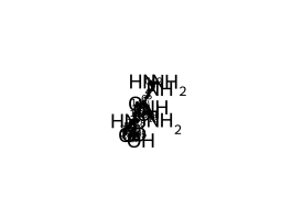 N=C(N)NCCC[C@H](NC(=O)CN)C(=O)NCC(=O)N[C@H]([C]=O)CS(=O)(=O)O